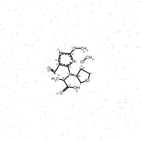 CO[C@@H]1COC[C@H]1N(c1nc(SC)ncc1C=O)C(C)C(=O)O